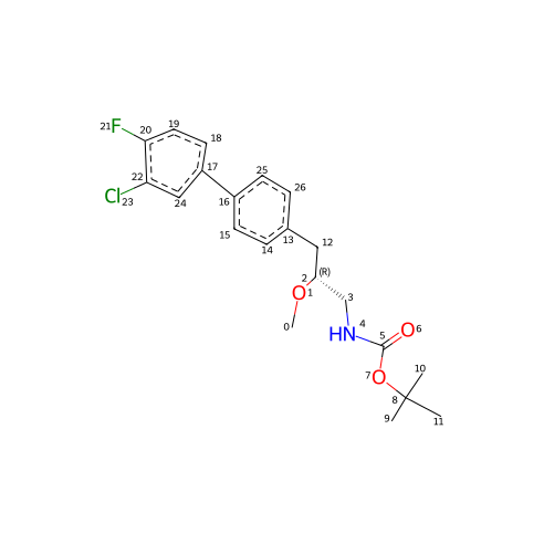 CO[C@@H](CNC(=O)OC(C)(C)C)Cc1ccc(-c2ccc(F)c(Cl)c2)cc1